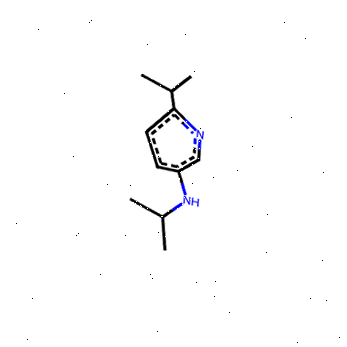 CC(C)Nc1ccc(C(C)C)nc1